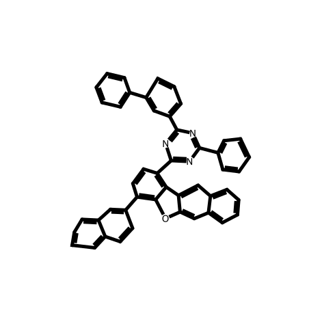 c1ccc(-c2cccc(-c3nc(-c4ccccc4)nc(-c4ccc(-c5ccc6ccccc6c5)c5oc6cc7ccccc7cc6c45)n3)c2)cc1